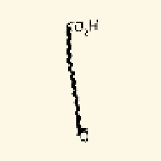 O=C(O)CCCCCCCCCCCCCCCCCCCCCC1COC1